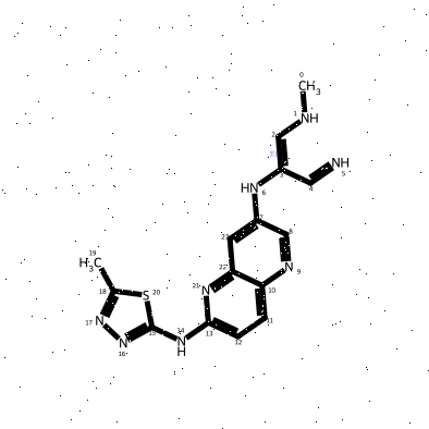 CN/C=C(\C=N)Nc1cnc2ccc(Nc3nnc(C)s3)nc2c1